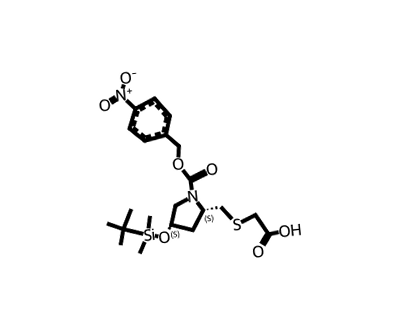 CC(C)(C)[Si](C)(C)O[C@H]1C[C@@H](CSCC(=O)O)N(C(=O)OCc2ccc([N+](=O)[O-])cc2)C1